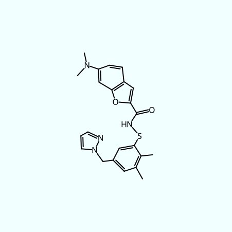 Cc1cc(Cn2cccn2)cc(SNC(=O)c2cc3ccc(N(C)C)cc3o2)c1C